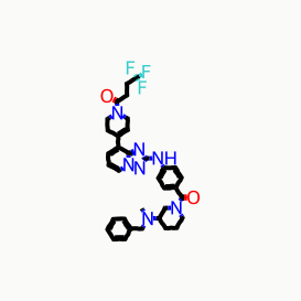 CN(Cc1ccccc1)C1CCCN(C(=O)c2ccc(Nc3nc4c(C5=CCN(C(=O)CCC(F)(F)F)CC5)cccn4n3)cc2)C1